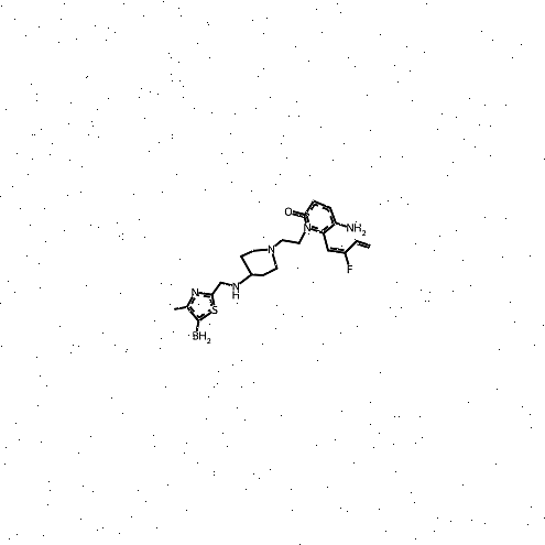 Bc1sc(CNC2CCN(CCn3c(/C=C(/F)C=C)c(N)ccc3=O)CC2)nc1C